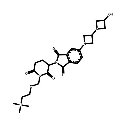 C[Si](C)(C)CCOCN1C(=O)CCC(N2C(=O)c3ccc(N4CC(N5CC(O)C5)C4)cc3C2=O)C1=O